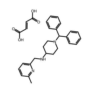 Cc1cccc(CNC2CCN(C(c3ccccc3)c3ccccc3)CC2)n1.O=C(O)C=CC(=O)O